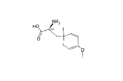 COC1=CCC(I)(C[C@H](N)C(=O)O)C=C1